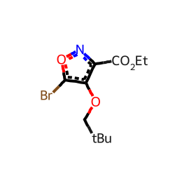 CCOC(=O)c1noc(Br)c1OCC(C)(C)C